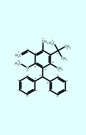 C=Cc1c(C)c(C(C)(C)C)c(C)c(C(c2ccccc2)c2ccccc2)c1OC